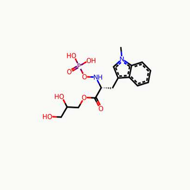 Cn1cc(C[C@@H](NOP(=O)(O)O)C(=O)OCC(O)CO)c2ccccc21